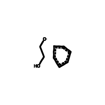 [O]CCO.c1ccccc1